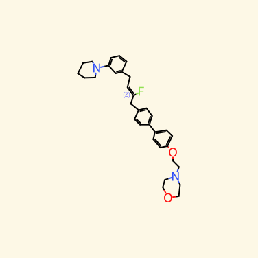 F/C(=C\Cc1cccc(N2CCCCC2)c1)Cc1ccc(-c2ccc(OCCN3CCOCC3)cc2)cc1